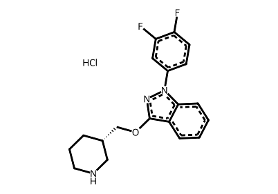 Cl.Fc1ccc(-n2nc(OC[C@H]3CCCNC3)c3ccccc32)cc1F